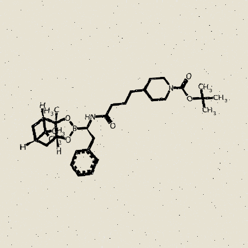 CC(C)(C)OC(=O)N1CCC(CCCC(=O)N[C@@H](Cc2ccccc2)B2O[C@@H]3C[C@@H]4C[C@@H](C4(C)C)[C@]3(C)O2)CC1